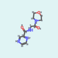 O=C(NCC(=O)N1CCOCC1)c1cnccn1